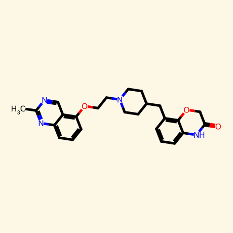 Cc1ncc2c(OCCN3CCC(Cc4cccc5c4OCC(=O)N5)CC3)cccc2n1